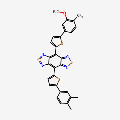 Cc1ccc(-c2ccc(-c3c4c(c(-c5ccc(-c6ccc(C(F)(F)F)c(OC(F)(F)F)c6)s5)c5nsnc35)N=S=N4)s2)cc1C